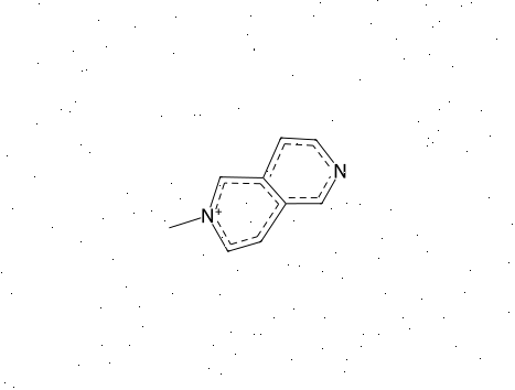 C[n+]1ccc2cnccc2c1